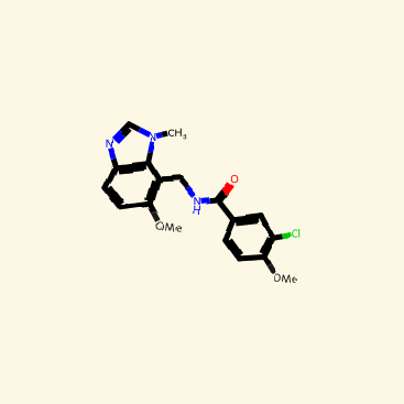 COc1ccc(C(=O)NCc2c(OC)ccc3ncn(C)c23)cc1Cl